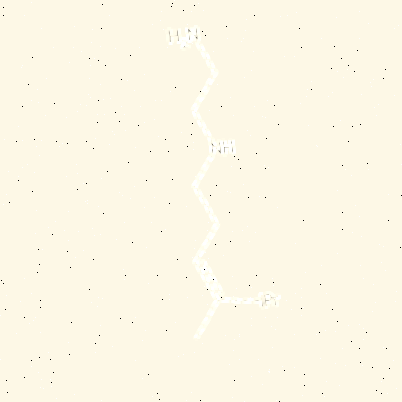 C/C(=C/CCNCCN)C(C)C